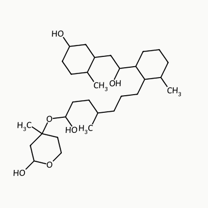 CC(CCCC1C(C)CCCC1C(O)CC1CC(O)CCC1C)CCC(O)OC1(C)CCOC(O)C1